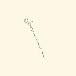 CCC=CCC=CCC=CCC=CCC=CCC=CCCC(=O)NCCNC(=O)c1ccc(C)nc1